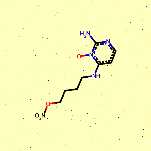 Nc1nccc(NCCCCO[N+](=O)[O-])[n+]1[O-]